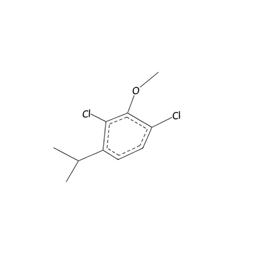 COc1c(Cl)ccc(C(C)C)c1Cl